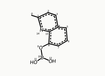 Cc1ccc2cccc(OB(O)O)c2n1